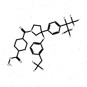 COC(=O)C1CCC(C(=O)N2CCC(Sc3cccc(CC(F)(F)F)c3)(c3ccc(C(F)(C(F)(F)F)C(F)(F)F)cc3)C2)CC1